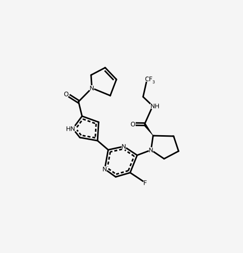 O=C(NCC(F)(F)F)[C@H]1CCCN1c1nc(-c2c[nH]c(C(=O)N3CC=CC3)c2)ncc1F